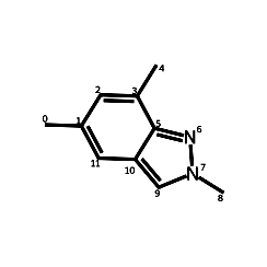 Cc1cc(C)c2nn(C)cc2c1